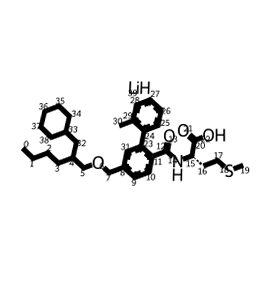 CCCCC(COCc1ccc(C(=O)N[C@@H](CCSC)C(=O)O)c(-c2ccccc2C)c1)CC1CCCCC1.[LiH]